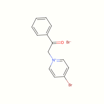 O=C(C[n+]1ccc(Br)cc1)c1ccccc1.[Br-]